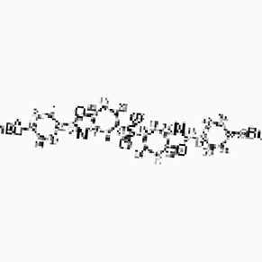 CCCCc1ccc(-c2nc3cc(S(=O)(=O)c4ccc5oc(-c6ccc(CCCC)cc6)nc5c4)ccc3o2)cc1